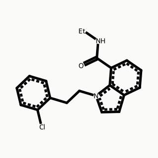 CCNC(=O)c1cccc2ccn(CCc3ccccc3Cl)c12